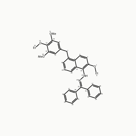 CCOc1ccc2c(Cc3cc(OC)c(OCC)c(OC)c3)cncc2c1NN=C(c1ccccc1)c1ccccc1